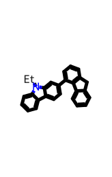 CCn1c2ccccc2c2ccc(-c3cccc4c3-c3ccccc3C4)cc21